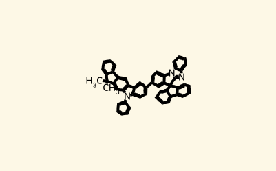 CC1(C)c2ccccc2-c2cc3c4cc(-c5ccc6c(c5)C5(c7ccccc7-c7ccccc75)c5nc7ccccc7n5-6)ccc4n(-c4ccccc4)c3cc21